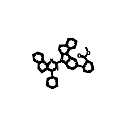 COC(=O)c1ccccc1-c1ccc2c(c1)c1c3ccccc3ccc1n2-c1nc(-c2ccccc2)c2ccc3ccccc3c2n1